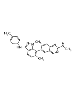 CNc1ncc2cc(-c3c(C)ccc4c(Nc5ccc(C)cc5)nn(C)c34)ccc2n1